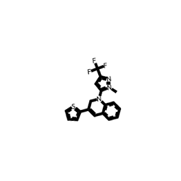 Cn1nc(C(F)(F)F)cc1N1CC(c2cccs2)=Cc2ccccc21